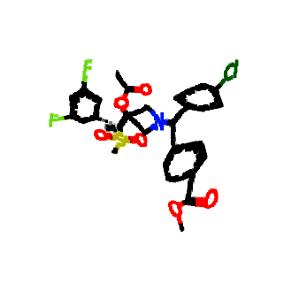 COC(=O)c1ccc(C(c2ccc(Cl)cc2)N2CC(OC(C)=O)([C@@H](c3cc(F)cc(F)c3)S(C)(=O)=O)C2)cc1